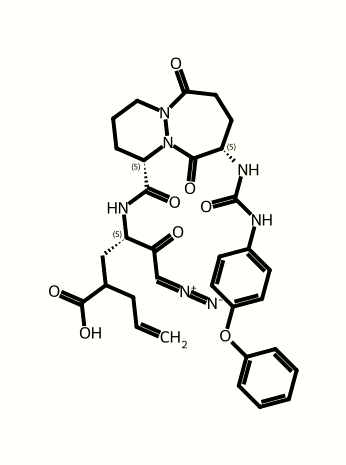 C=CCC(C[C@H](NC(=O)[C@@H]1CCCN2C(=O)CC[C@H](NC(=O)Nc3ccc(Oc4ccccc4)cc3)C(=O)N12)C(=O)C=[N+]=[N-])C(=O)O